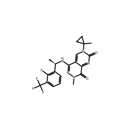 C[C@@H](Nc1nn(C)c(=O)c2nc(=O)n(C3(C)CC3)cc12)c1cccc(C(F)(F)F)c1F